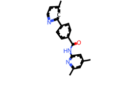 Cc1cc(C)nc(NC(=O)c2ccc(-c3cc(C)ccn3)cc2)c1